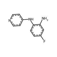 Nc1cc(F)ccc1Nc1ccncc1